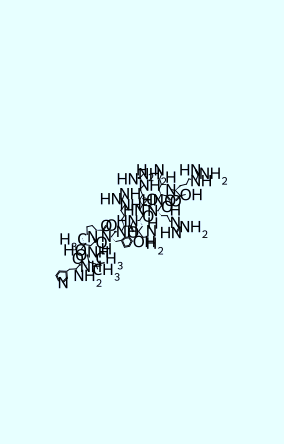 CC(C)[C@H](NC(=O)[C@@H](N)Cc1cccnc1)C(=O)N[C@H](C(=O)N1CCC[C@H]1C(=O)N[C@@H](Cc1ccc(O)cc1)C(=O)N[C@@H](CCCNC(=N)N)C(=O)N[C@@H](CCCCN)C(=O)N[C@@H](CCCNC(=N)N)C(=O)N[C@@H](CCCNC(=N)N)C(=O)N[C@@H](CCCCN)C(=O)N[C@@H](CCCNC(=N)N)C(=O)O)[C@@H](C)O